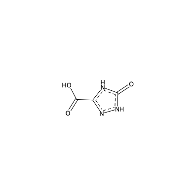 O=C(O)c1n[nH]c(=O)[nH]1